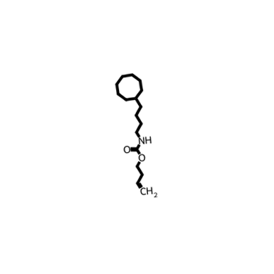 C=CCCOC(=O)NCCCCC1CCCCCCC1